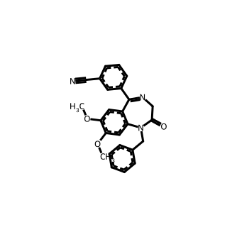 COc1cc2c(cc1OC)N(Cc1ccccc1)C(=O)CN=C2c1cccc(C#N)c1